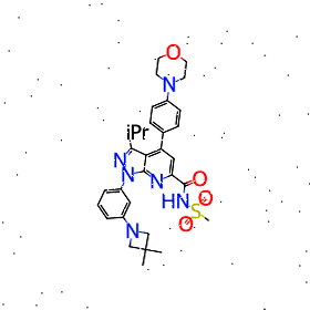 CC(C)c1nn(-c2cccc(N3CC(C)(C)C3)c2)c2nc(C(=O)NS(C)(=O)=O)cc(-c3ccc(N4CCOCC4)cc3)c12